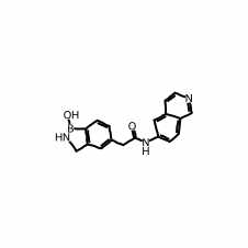 O=C(Cc1ccc2c(c1)CNB2O)Nc1ccc2cnccc2c1